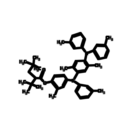 Cc1cccc(N(c2cccc(C)c2)c2cc(C)c(N(c3cccc(C)c3)c3ccc(OC(=O)C(CC(C)(C)C)C(C)(C)C)c(C)c3)cc2C)c1